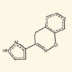 c1ccc2c(c1)CC(c1cc[nH]n1)=NO2